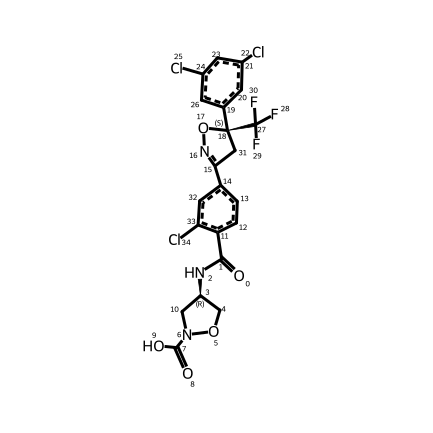 O=C(N[C@H]1CON(C(=O)O)C1)c1ccc(C2=NO[C@@](c3cc(Cl)cc(Cl)c3)(C(F)(F)F)C2)cc1Cl